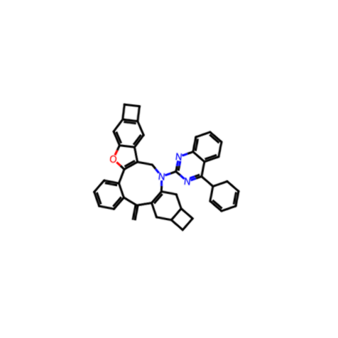 C=C1C2=C(CC3CCC3C2)N(c2nc(C3C=CC=CC3)c3ccccc3n2)Cc2c(oc3cc4c(cc23)CC4)-c2ccccc21